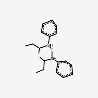 CCC(C)[SiH](O[SiH](c1ccccc1)C(C)CC)c1ccccc1